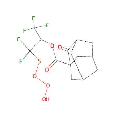 O=C(OC(C(F)(F)F)C(F)(F)SOOO)C12CC3CC(CC(C3)C1=O)C2